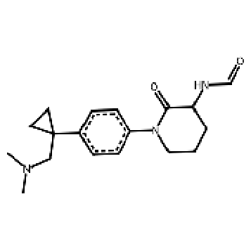 CN(C)CC1(c2ccc(N3CCCC(NC=O)C3=O)cc2)CC1